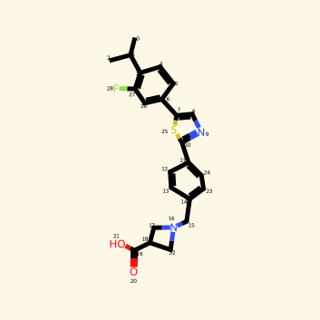 CC(C)c1ccc(-c2cnc(-c3ccc(CN4CC(C(=O)O)C4)cc3)s2)cc1F